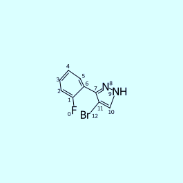 Fc1ccccc1-c1n[nH]cc1Br